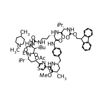 CC[C@H](C)[C@H](NC(=O)[C@H]1C[C@H](C)CCN1C)C(=O)N(CC)[C@H](C[C@@H](OC(C)=O)c1nc(C(=O)N[C@@H](Cc2ccc(NC(=O)[C@H](CCCNC(N)=O)NC(=O)[C@@H](NC(=O)OCC3c4ccccc4-c4ccccc43)C(C)C)cc2)C[C@H](C)C(=O)OC)cs1)C(C)C